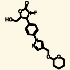 O=C1OC(CO)C(c2ccc(-n3cc(COC4CCCCO4)cn3)cc2)N1F